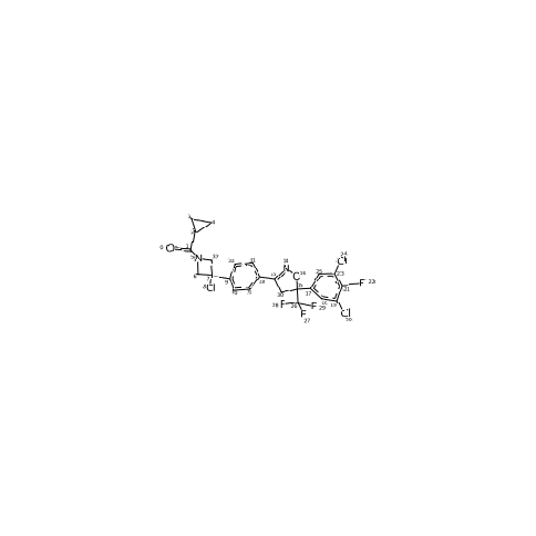 O=C(C1CC1)N1CC(Cl)(c2ccc(C3=NOC(c4cc(Cl)c(F)c(Cl)c4)(C(F)(F)F)C3)cc2)C1